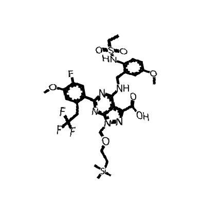 CCS(=O)(=O)Nc1ccc(OC)cc1CNc1nc(-c2cc(F)c(OC)cc2CC(F)(F)F)nc2c1c(C(=O)O)nn2COCC[Si](C)(C)C